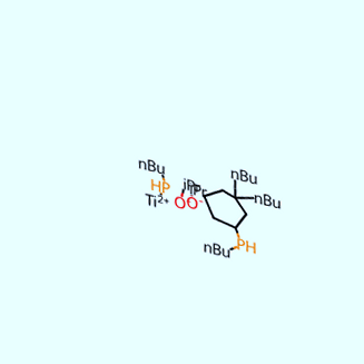 CC(C)[O-].CC(C)[O-].CCCCPC1CCCC(CCCC)(CCCC)C1.CCCC[PH][Ti+2]